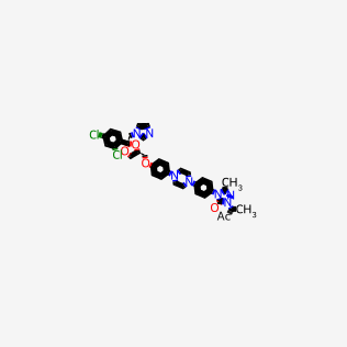 CC(=O)C(C)n1nc(C)n(-c2ccc(N3CCN(c4ccc(OC[C@@H]5CO[C@@](Cn6ccnc6)(c6ccc(Cl)cc6Cl)O5)cc4)CC3)cc2)c1=O